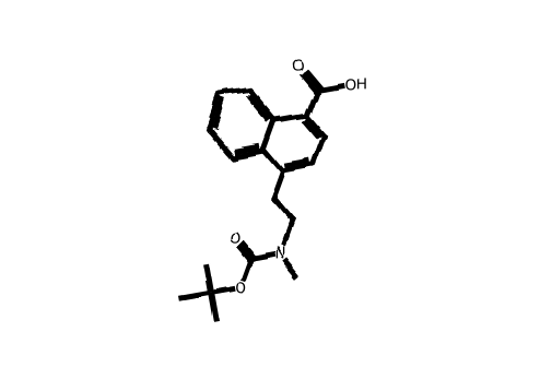 CN(CCc1ccc(C(=O)O)c2ccccc12)C(=O)OC(C)(C)C